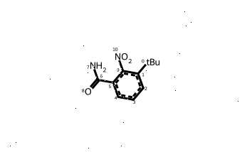 CC(C)(C)c1cccc(C(N)=O)c1[N+](=O)[O-]